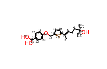 CCC(O)(CC)CCC=C(C)c1ccc(COc2ccc(C(O)O)cc2)s1